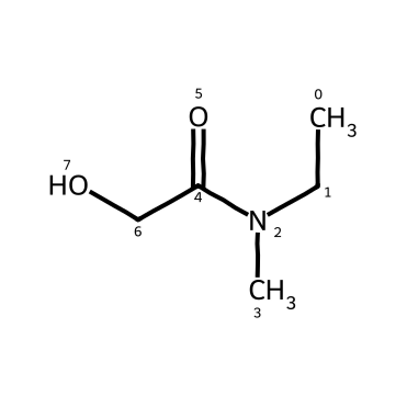 CCN(C)C(=O)CO